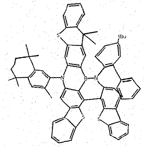 Cc1cc2c(cc1N1c3cc4c(cc3B3c5c1cc1c(sc6ccccc61)c5-c1c(ccc5c1sc1ccccc15)N3c1ccc(C(C)(C)C)cc1-c1ccccc1)C(C)(C)c1ccccc1S4)C(C)(C)CCC2(C)C